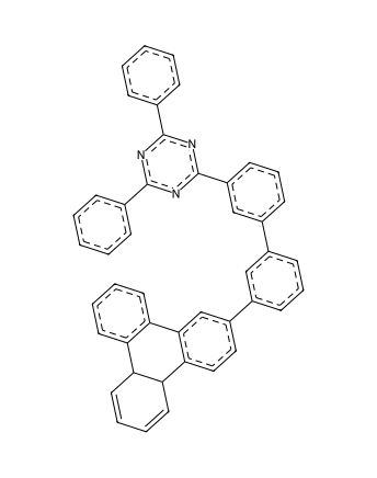 C1=CC2c3ccccc3-c3cc(-c4cccc(-c5cccc(-c6nc(-c7ccccc7)nc(-c7ccccc7)n6)c5)c4)ccc3C2C=C1